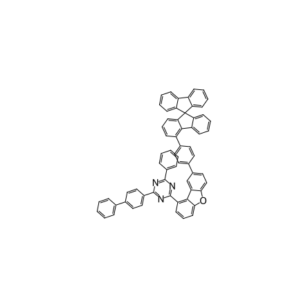 c1ccc(-c2ccc(-c3nc(-c4ccccc4)nc(-c4cccc5oc6ccc(-c7ccc(-c8cccc9c8-c8ccccc8C98c9ccccc9-c9ccccc98)cc7)cc6c45)n3)cc2)cc1